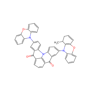 CC1CC=CC2=C1N(c1ccc3c(c1)c(=O)c1cccc4c(=O)c5cc(N6c7ccccc7Oc7ccccc76)ccc5n3c14)c1ccccc1O2